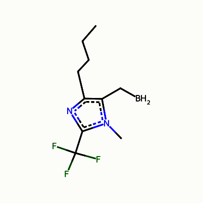 BCc1c(CCCC)nc(C(F)(F)F)n1C